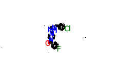 O=C(c1ccc(F)cc1)N1CCN(c2ncn(Cc3ccc(Cl)cc3)n2)CC1